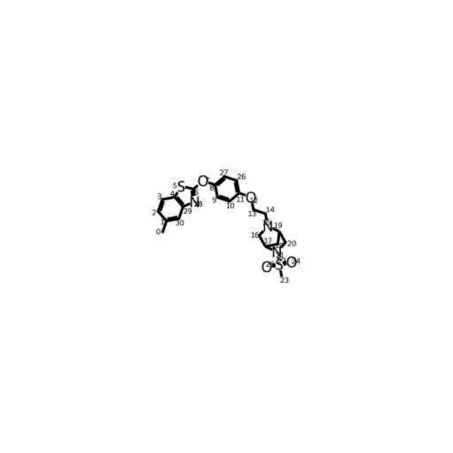 Cc1ccc2sc(Oc3ccc(OCCN4CC5CC4CN5S(C)(=O)=O)cc3)nc2c1